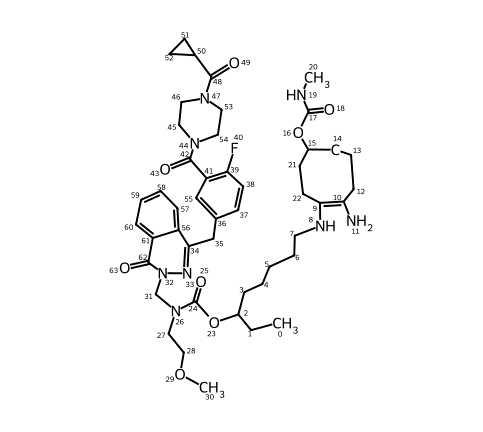 CCC(CCCCCN/C1=C(\N)CCCC(OC(=O)NC)CC1)OC(=O)N(CCOC)Cn1nc(Cc2ccc(F)c(C(=O)N3CCN(C(=O)C4CC4)CC3)c2)c2ccccc2c1=O